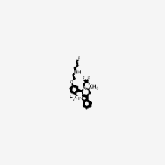 Cc1ccc(OCCNCCCF)cc1C1c2[nH]c3ccccc3c2C[C@@H](C)N1CC(F)(F)F